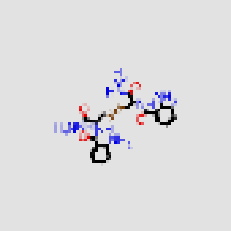 NNC(=O)C(CSSCC(NC(=O)c1ccccc1N)C(=O)NN)NC(=O)c1ccccc1N